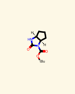 CC(C)(C)OC(=O)N1C(=O)N[C@H]2CCC[C@H]21